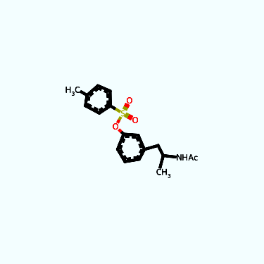 CC(=O)NC(C)Cc1cccc(OS(=O)(=O)c2ccc(C)cc2)c1